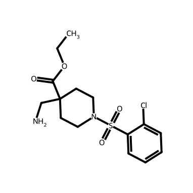 CCOC(=O)C1(CN)CCN(S(=O)(=O)c2ccccc2Cl)CC1